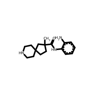 CC1(C(=O)Nc2ccccc2N)CCC2(CCNCC2)C1